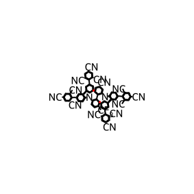 N#Cc1cc(C#N)c(-c2ccc3c(c2)c2cc(-c4c(C#N)cc(C#N)cc4C#N)ccc2n3-c2ccc(C(F)(F)F)cc2-c2ccc(C#N)cc2-n2c3ccc(-c4c(C#N)cc(C#N)cc4C#N)cc3c3cc(-c4c(C#N)cc(C#N)cc4C#N)ccc32)c(C#N)c1